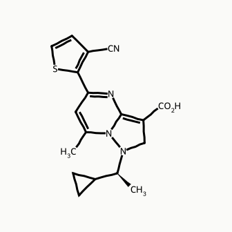 CC1=CC(c2sccc2C#N)=NC2=C(C(=O)O)CN([C@@H](C)C3CC3)N12